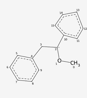 CO[C](Cc1ccccc1)c1ccccc1